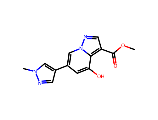 COC(=O)c1cnn2cc(-c3cnn(C)c3)cc(O)c12